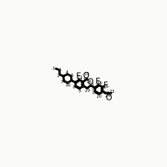 CCCC1CCC(c2ccc3c(c2F)C(=O)OC(c2ccc(C4CO4)c(F)c2F)C3)CC1